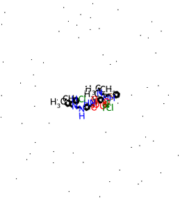 CC(C)N(C)CC[C@H](CSc1ccccc1)Nc1ccc(S(=O)(=O)NC(=O)c2ccc(NCCNCC3=C(c4ccc(Cl)cc4)CC(C)(C)CC3)cc2)cc1S(=O)(=O)C(F)(F)Cl